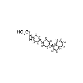 O=C(O)CNc1ccc(-c2ccc(-n3ccc4ccccc43)cc2)cc1